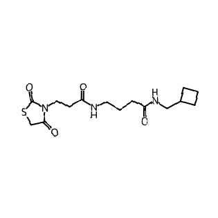 O=C(CCN1C(=O)CSC1=O)NCCCC(=O)NCC1CCC1